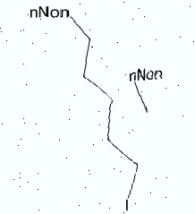 CCCCCCCCCC.CCCCCCCCCCCCCCI